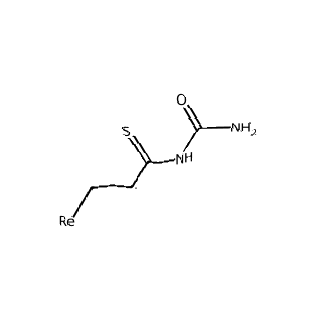 NC(=O)NC(=S)[CH][CH2][Re]